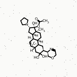 CC(=O)O[C@]1(O)[C@@H](N2CCCC2)C[C@H]2[C@@H]3CC[C@H]4CC(O)(O)[C@H]([C@@H]5COCC#[N+]5)C[C@]4(C)[C@H]3CC[C@@]21C